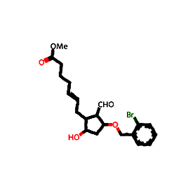 COC(=O)CCCC=CCC1C(O)CC(OCc2ccccc2Br)C1C=O